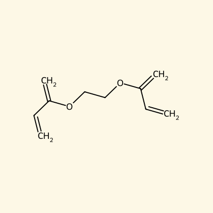 C=CC(=C)OCCOC(=C)C=C